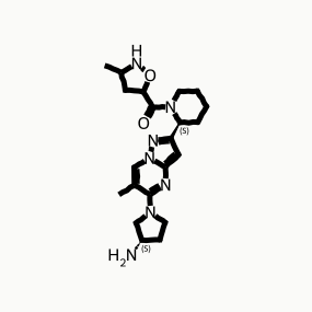 Cc1cn2nc([C@@H]3CCCCN3C(=O)C3CC(C)NO3)cc2nc1N1CC[C@H](N)C1